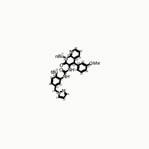 CCCCn1c(=O)c(NC(=O)Nc2cc(Cn3cccn3)ccc2C(C)(C)C)c(-c2cccc(OC)c2)c2cccnc21